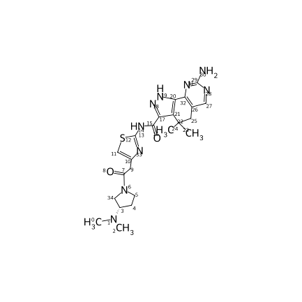 CN(C)[C@H]1CCN(C(=O)Cc2csc(NC(=O)c3n[nH]c4c3C(C)(C)Cc3cnc(N)nc3-4)n2)C1